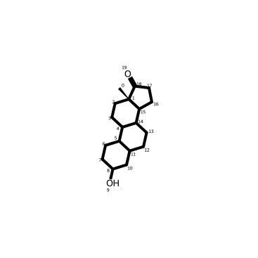 C[C@]12CCC3C4CCC(O)CC4CCC3C1CCC2=O